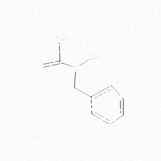 NC(=O)N(N)Cc1ccccc1